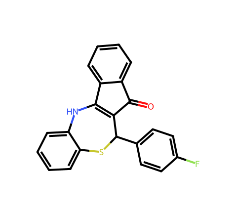 O=C1C2=C(Nc3ccccc3SC2c2ccc(F)cc2)c2ccccc21